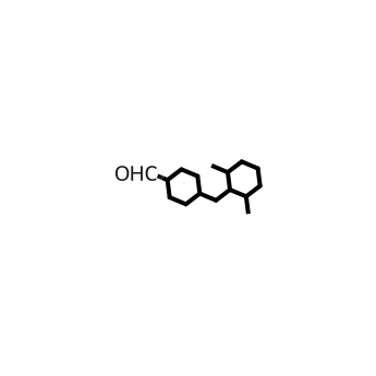 CC1CCCC(C)C1CC1CCC(C=O)CC1